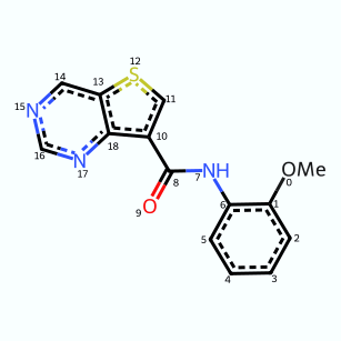 COc1ccccc1NC(=O)c1csc2cncnc12